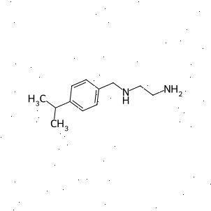 CC(C)c1ccc(CNCCN)cc1